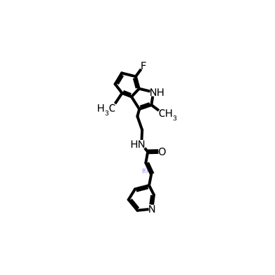 Cc1[nH]c2c(F)ccc(C)c2c1CCNC(=O)/C=C/c1cccnc1